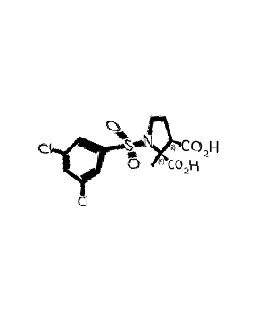 C[C@@]1(C(=O)O)[C@H](C(=O)O)CCN1S(=O)(=O)c1cc(Cl)cc(Cl)c1